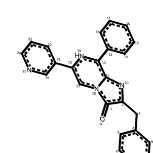 O=c1c(Cc2ccccc2)nc2c(-c3ccccc3)[nH]c(-c3cccnc3)cn1-2